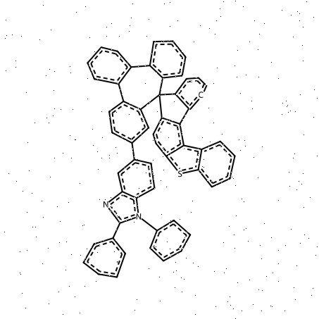 c1ccc(-c2nc3cc(-c4ccc5c(c4)C4(c6ccccc6-c6ccccc6-5)c5ccccc5-c5c4ccc4sc6ccccc6c54)ccc3n2-c2ccccc2)cc1